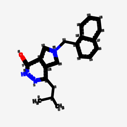 CC(C)Cc1n[nH]c(=O)c2cn(Cc3cccc4ccccc34)cc12